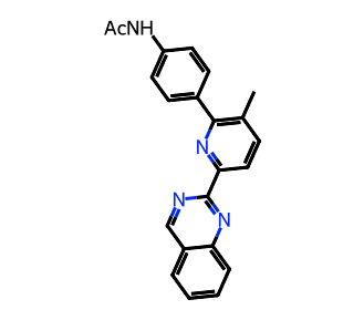 CC(=O)Nc1ccc(-c2nc(-c3ncc4ccccc4n3)ccc2C)cc1